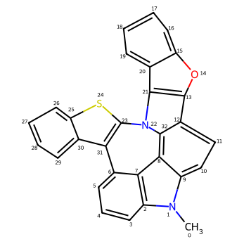 Cn1c2cccc3c2c2c1ccc1c4oc5ccccc5c4n(c4sc5ccccc5c34)c12